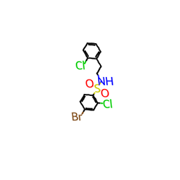 O=S(=O)(NCCc1ccccc1Cl)c1ccc(Br)cc1Cl